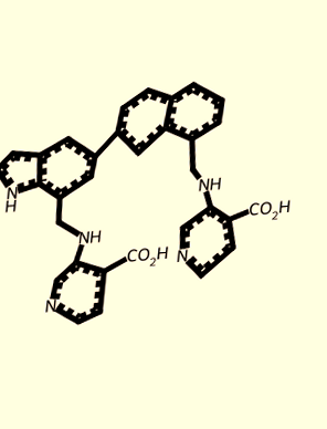 O=C(O)c1ccncc1NCc1cccc2ccc(-c3cc(CNc4cnccc4C(=O)O)c4[nH]ccc4c3)cc12